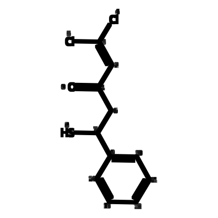 O=C(C=C(Cl)Cl)CC(S)c1ccccc1